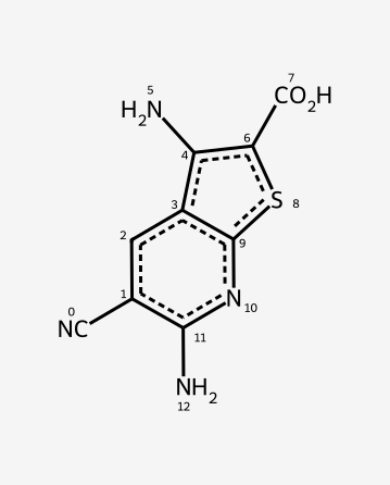 N#Cc1cc2c(N)c(C(=O)O)sc2nc1N